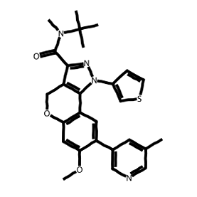 COc1cc2c(cc1-c1cncc(C)c1)-c1c(c(C(=O)N(C)C(C)(C)C)nn1-c1ccsc1)CO2